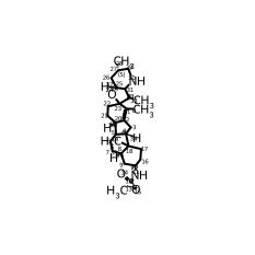 CC1=C2C[C@H]3C(CC[C@@H]4C[C@H](NS(C)(=O)=O)CCC43C)[C@@H]2CCC12O[C@@H]1C[C@H](C)CNC1[C@H]2C